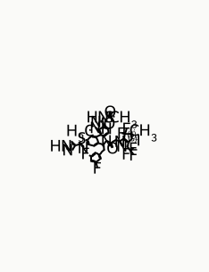 C[C@@H]1[C@H](I)c2c(C(F)(F)F)nn(CC(=O)NC(Cc3cc(F)cc(F)c3)c3cc4nc(-c5cn[nH]c5)sc4cc3-c3cccc4c(NS(C)(=O)=O)nn(C)c34)c2C1(F)F